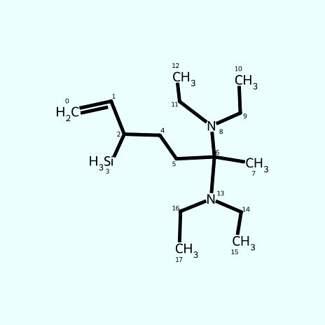 C=CC([SiH3])CCC(C)(N(CC)CC)N(CC)CC